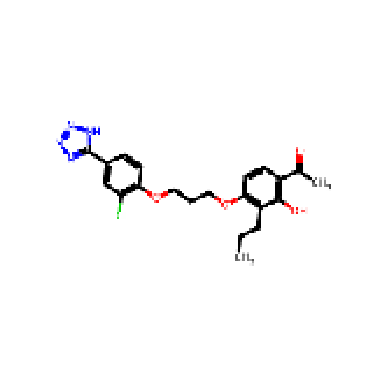 CCCc1c(OCCCOc2ccc(-c3nnn[nH]3)cc2Cl)ccc(C(C)=O)c1O